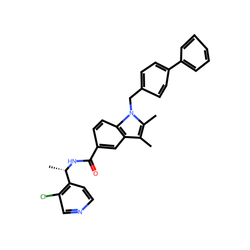 Cc1c(C)n(Cc2ccc(-c3ccccc3)cc2)c2ccc(C(=O)N[C@@H](C)c3ccncc3Cl)cc12